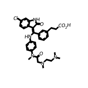 CN(C)CCN(C)CC(=O)N(C)c1ccc(NC(=C2C(=O)Nc3cc(Cl)ccc32)c2cccc(CCC(=O)O)c2)cc1